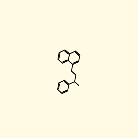 C[C](CCc1cccc2ccccc12)c1ccccc1